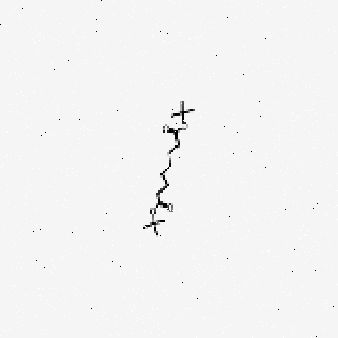 CC(C)(C)OC(=O)CCCCCCC(=O)OC(C)(C)C